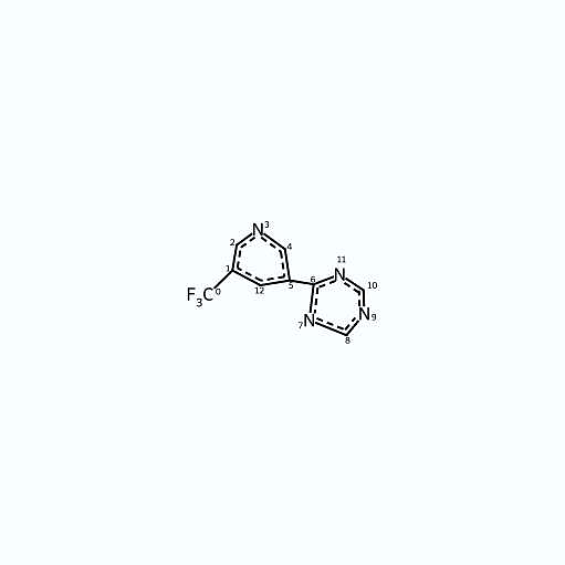 FC(F)(F)c1cncc(-c2ncncn2)c1